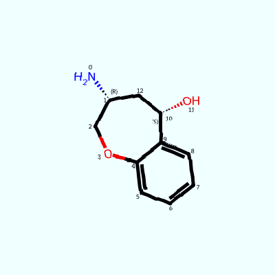 N[C@H]1COc2ccccc2[C@@H](O)C1